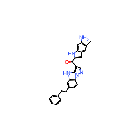 Cc1cc2cc(C(=O)c3cnn4c3[nH]c3cc(CCc5ccccc5)ccc34)[nH]c2cc1N